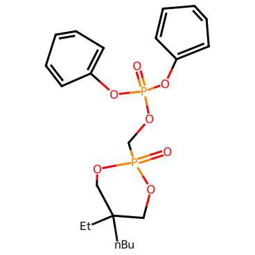 CCCCC1(CC)COP(=O)(COP(=O)(Oc2ccccc2)Oc2ccccc2)OC1